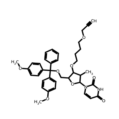 C#CCOCCCCOC1C(COC(c2ccccc2)(c2ccc(OC)cc2)c2ccc(OC)cc2)OC(n2ccc(=O)[nH]c2=O)C1C